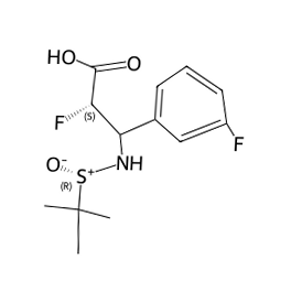 CC(C)(C)[S@+]([O-])NC(c1cccc(F)c1)[C@H](F)C(=O)O